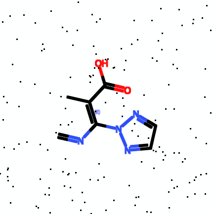 C=N/C(=C(\C)C(=O)O)n1nccn1